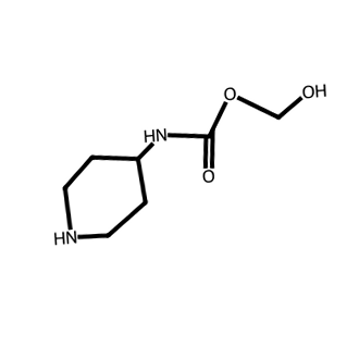 O=C(NC1CCNCC1)OCO